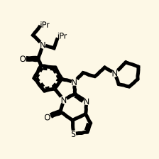 CC(C)CN(CC(C)C)C(=O)c1ccc2c(c1)N(CCCN1CCCCC1)C1=NC3C=CSC3C(=O)N12